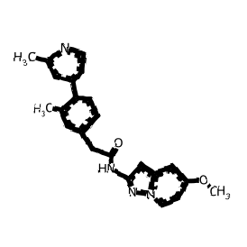 COc1ccn2nc(NC(=O)Cc3ccc(-c4ccnc(C)c4)c(C)c3)cc2c1